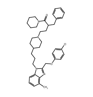 Cc1cccc2c1nc(COc1ccc(Cl)cc1)n2CCCC1CCN(CCC(Cc2ccccc2)C(=O)N2CCCCC2)CC1